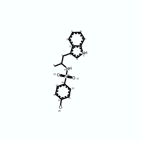 CC(Cc1c[nH]c2ccccc12)NS(=O)(=O)c1ccc(Cl)cc1